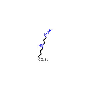 CCOC(=O)CCCCNCCCN=[N+]=[N-]